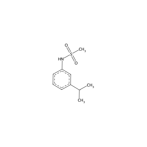 C[C](C)c1cccc(NS(C)(=O)=O)c1